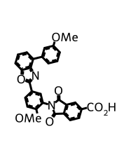 COc1cccc(-c2cccc3oc(-c4ccc(OC)c(N5C(=O)c6ccc(C(=O)O)cc6C5=O)c4)nc23)c1